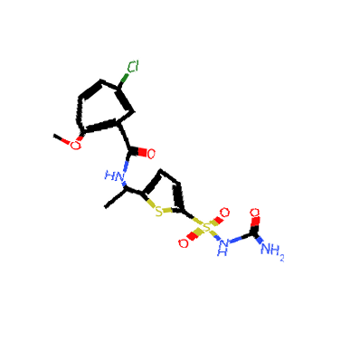 COc1ccc(Cl)cc1C(=O)NC(C)c1ccc(S(=O)(=O)NC(N)=O)s1